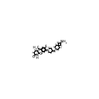 CN(c1ccc(N2CCC(CN3CCC4(CC3)CC(N)C4)CC2)c(F)c1)C1CCC(=O)NC1=O